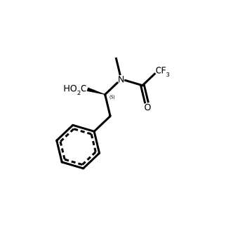 CN(C(=O)C(F)(F)F)[C@@H](Cc1ccccc1)C(=O)O